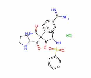 CC(C)C[C@@H](NS(=O)(=O)c1ccccc1)C(=O)C(C(N)=O)(C(=O)[C@H]1CCCN1)c1ccc(C(=N)N)cc1.Cl